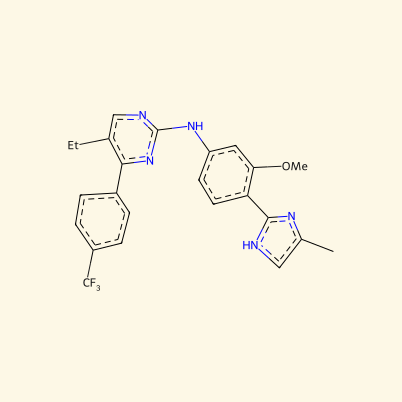 CCc1cnc(Nc2ccc(-c3nc(C)c[nH]3)c(OC)c2)nc1-c1ccc(C(F)(F)F)cc1